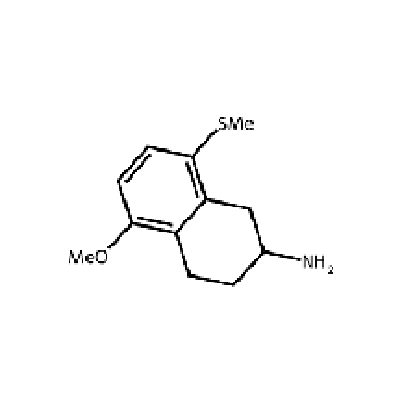 COc1ccc(SC)c2c1CCC(N)C2